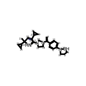 C=C(c1ccc(N2BCCC2)cc1)N1CCN(C(=N)/C(=C\C(C)(C)C2CC2)C2CC2)C1